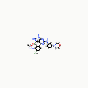 C=CC(=O)Nc1cc(-c2nc(Nc3cccc(N4CCOCC4)c3)nc(N)c2C(=N)Cl)ccc1Cl